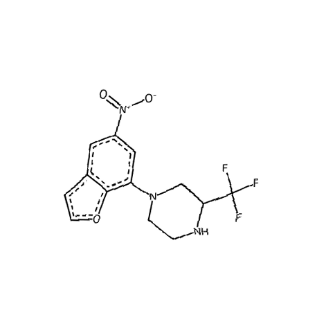 O=[N+]([O-])c1cc(N2CCNC(C(F)(F)F)C2)c2occc2c1